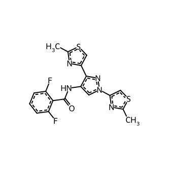 Cc1nc(-c2nn(-c3csc(C)n3)cc2NC(=O)c2c(F)cccc2F)cs1